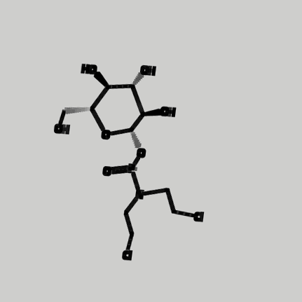 O=[P](O[C@@H]1O[C@H](CO)[C@@H](O)[C@H](O)[C@H]1O)N(CCCl)CCCl